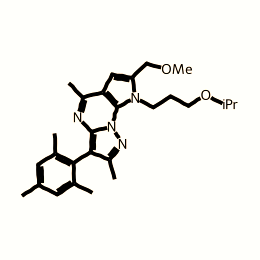 COCc1cc2c(C)nc3c(-c4c(C)cc(C)cc4C)c(C)nn3c2n1CCCOC(C)C